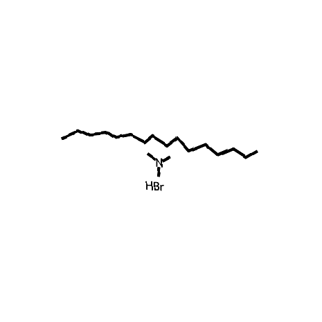 Br.CCCCCCCCCCCCCCCC.CN(C)C